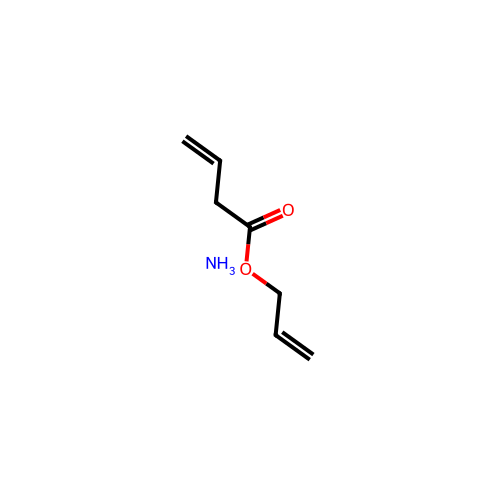 C=CCOC(=O)CC=C.N